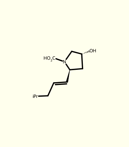 CC(C)C/C=C/[C@@H]1C[C@@H](O)CN1C(=O)O